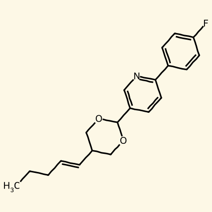 CCCC=CC1COC(c2ccc(-c3ccc(F)cc3)nc2)OC1